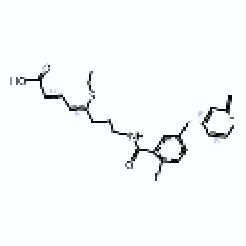 C=C(F)/C=C(\C=C/C)Cc1ccc(F)c(C(=O)NCCC/C(=C/C=C/C(=O)O)SCC)c1